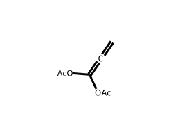 C=C=C(OC(C)=O)OC(C)=O